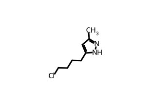 Cc1cc(CCCCCl)[nH]n1